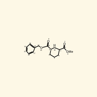 COC(=O)C1CCCN(C(=O)OCc2ccccc2)N1